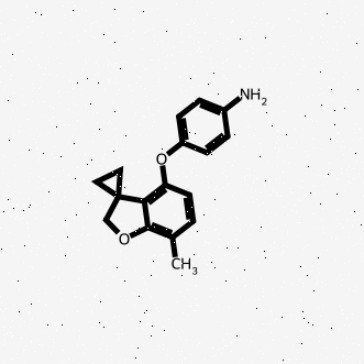 Cc1ccc(Oc2ccc(N)cc2)c2c1OCC21CC1